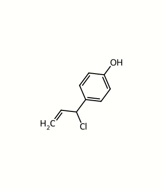 C=CC(Cl)c1ccc(O)cc1